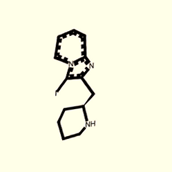 Ic1c(C[C@@H]2CCCCN2)nc2ccccn12